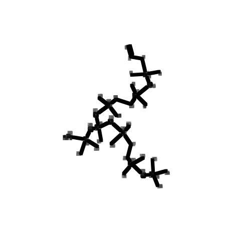 C=CC[Si](C)(C)O[Si](C)(C)CC[Si](C)(C)O[Si](C)(O[Si](C)(C)CCC)O[Si](C)(C)CC[Si](C)(C)O[Si](C)(C)C